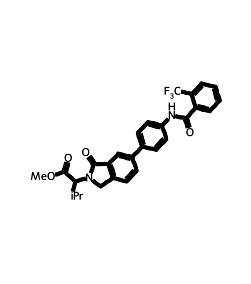 COC(=O)C(C(C)C)N1Cc2ccc(-c3ccc(NC(=O)c4ccccc4C(F)(F)F)cc3)cc2C1=O